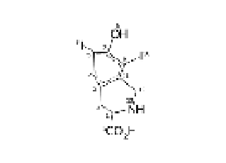 O=C(O)C1Cc2cc(I)c(O)c(I)c2CN1